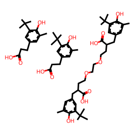 Cc1cc(CC(CCOCCOCCC(Cc2cc(C)c(O)c(C(C)(C)C)c2)C(=O)O)C(=O)O)cc(C(C)(C)C)c1O.Cc1cc(CCC(=O)O)cc(C(C)(C)C)c1O.Cc1cc(CCC(=O)O)cc(C(C)(C)C)c1O